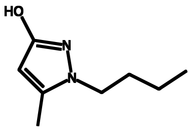 CCCCn1nc(O)cc1C